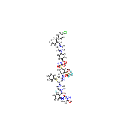 CC1(C)CCC(c2ccc(Cl)cc2)=C(CN2CCN(c3ccc(C(=O)NS(=O)(=O)c4ccc(N[C@H](CCN5CCN(Cc6c(F)cccc6N6CCC(=O)NC6=O)CC5)CSc5ccccc5)c(S(=O)(=O)C(F)(F)F)c4)cc3)CC2)C1